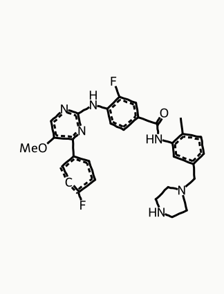 COc1cnc(Nc2ccc(C(=O)Nc3cc(CN4CCNCC4)ccc3C)cc2F)nc1-c1ccc(F)cc1